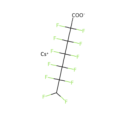 O=C([O-])C(F)(F)C(F)(F)C(F)(F)C(F)(F)C(F)(F)C(F)F.[Cs+]